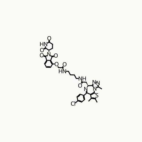 Cc1sc2c(c1C)C(c1ccc(Cl)cc1)=N[C@@H](CC(=O)NCCCCNC(=O)COc1cccc3c1C(=O)N([C@@H]1CCC(=O)NC1=O)C3=O)c1nnc(C)n1-2